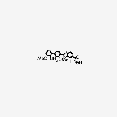 COc1cc(-c2cccc(OC)c2N)ccc1-c1nc2cc(C(=O)NO)ccc2o1